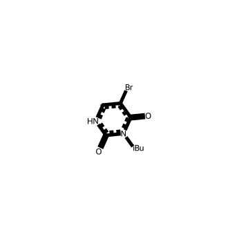 CCC(C)n1c(=O)[nH][c]c(Br)c1=O